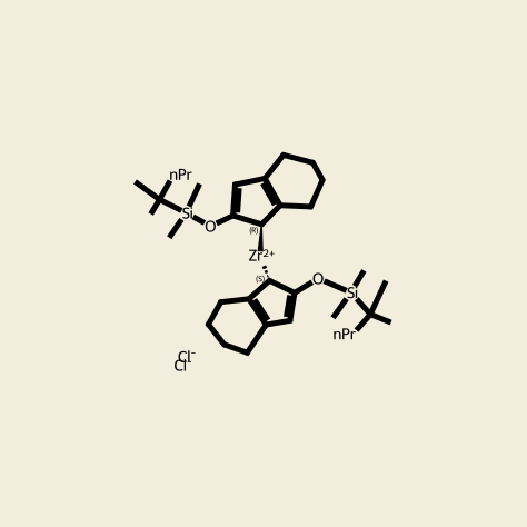 CCCC(C)(C)[Si](C)(C)OC1=CC2=C(CCCC2)[C@@H]1[Zr+2][C@H]1C(O[Si](C)(C)C(C)(C)CCC)=CC2=C1CCCC2.[Cl-].[Cl-]